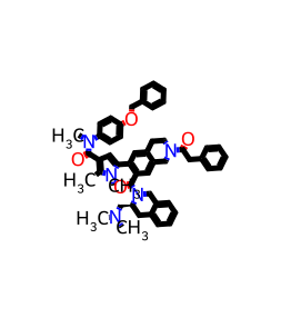 Cc1c(C(=O)N(C)c2ccc(OCc3ccccc3)cc2)cc(-c2cc3c(cc2C(=O)N2Cc4ccccc4C[C@H]2CN(C)C)CN(C(=O)Cc2ccccc2)CC3)n1C